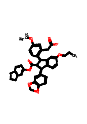 CCCOc1ccc2c(c1)C(c1ccc(OC)cc1CC(=O)[O-])C(C(=O)Oc1ccc3c(c1)CCC3)C2c1ccc2c(c1)OCO2.[Na+]